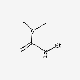 C=C(NCC)N(C)C